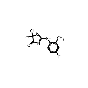 Cc1cc(F)ccc1NC1=NC(=O)C(C)(C(C)C)S1